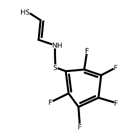 Fc1c(F)c(F)c(SN/C=C/S)c(F)c1F